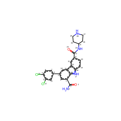 NC(=O)c1cc(-c2ccc(Cl)c(Cl)c2)cc2c1[nH]c1ccc(C(=O)NC3CCNCC3)cc12